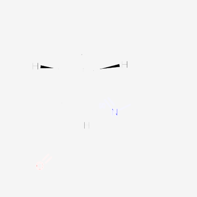 CC/N=C1/[C@@H](CC=O)C[C@H]2C[C@@H]1C2(C)C